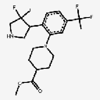 COC(=O)C1CCN(c2cc(C(F)(F)F)ccc2C2CNCC2(F)F)CC1